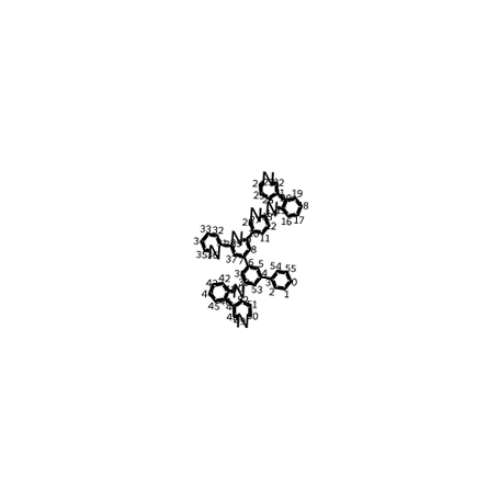 c1ccc(-c2cc(-c3cc(-c4ccc(-n5c6ccccc6c6cnccc65)nc4)nc(-c4ccccn4)c3)cc(-n3c4ccccc4c4cnccc43)c2)cc1